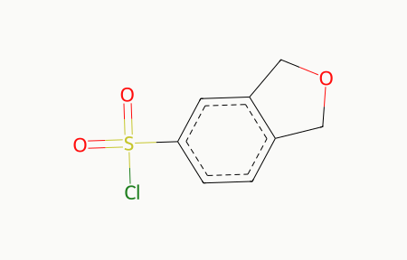 O=S(=O)(Cl)c1ccc2c(c1)COC2